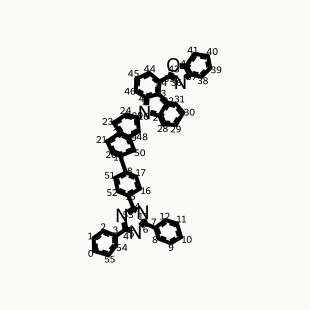 c1ccc(-c2nc(-c3ccccc3)nc(-c3ccc(-c4ccc5ccc(-n6c7ccccc7c7c(-c8nc9ccccc9o8)cccc76)cc5c4)cc3)n2)cc1